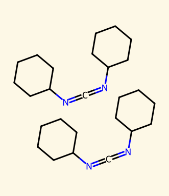 C(=NC1CCCCC1)=NC1CCCCC1.C(=NC1CCCCC1)=NC1CCCCC1